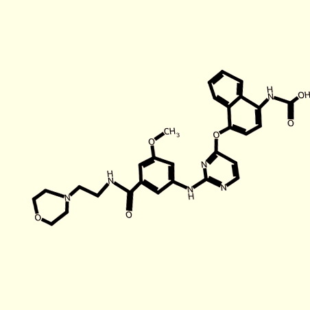 COc1cc(Nc2nccc(Oc3ccc(NC(=O)O)c4ccccc34)n2)cc(C(=O)NCCN2CCOCC2)c1